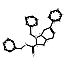 O=C(OCc1ccccc1)C1CC2CC=C(c3ccccc3)CC2N1Cc1ccccc1